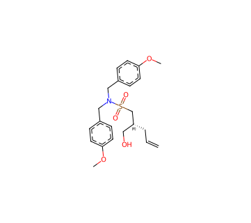 C=CC[C@H](CO)CS(=O)(=O)N(Cc1ccc(OC)cc1)Cc1ccc(OC)cc1